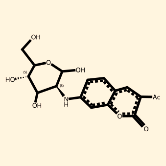 CC(=O)c1cc2ccc(N[C@@H]3C(O)OC(CO)[C@@H](O)C3O)cc2oc1=O